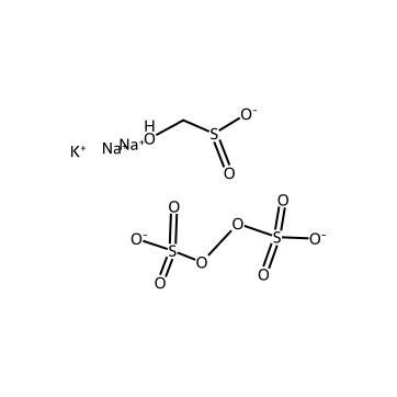 O=S(=O)([O-])OOS(=O)(=O)[O-].O=S([O-])CO.[K+].[Na+].[Na+]